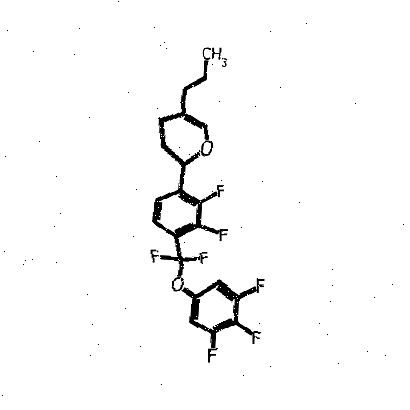 CCCC1=COC(c2ccc(C(F)(F)Oc3cc(F)c(F)c(F)c3)c(F)c2F)CC1